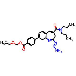 CCCN(CCC)C(=O)C1=CC2=CC=C(c3ccc(C(=O)OCOCC)cc3)CC2N=C(N=NN)C1